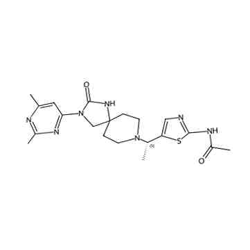 CC(=O)Nc1ncc([C@H](C)N2CCC3(CC2)CN(c2cc(C)nc(C)n2)C(=O)N3)s1